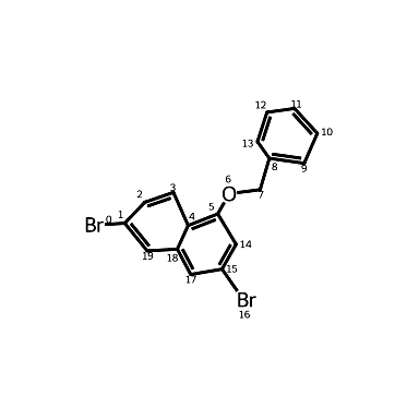 Brc1ccc2c(OCc3ccccc3)cc(Br)cc2c1